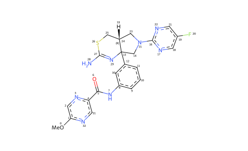 COc1cnc(C(=O)Nc2cccc(C34CN(c5ncc(F)cn5)C[C@H]3CSC(N)=N4)c2)cn1